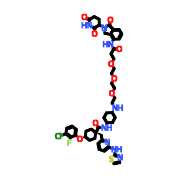 O=C1CCC(N2Cc3c(NC(=O)CCOCCOCCOCCN[C@H]4CC[C@@H](NC(=O)[C@]5(Cc6cccc(Nc7nccs7)n6)CC[C@@H](Oc6cccc(Cl)c6F)CC5)CC4)cccc3C2=O)C(=O)N1